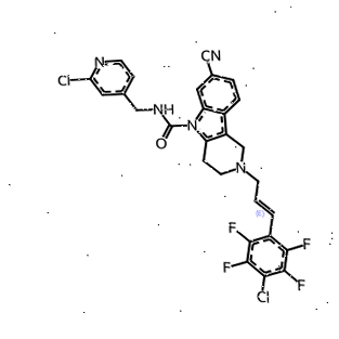 N#Cc1ccc2c3c(n(C(=O)NCc4ccnc(Cl)c4)c2c1)CCN(C/C=C/c1c(F)c(F)c(Cl)c(F)c1F)C3